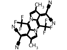 Cc1cn2c(C(F)(F)F)c3c(=C(C#N)C#N)c(C)cn3c(C(F)(F)F)c2c1=C(C#N)C#N